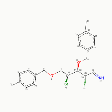 Cc1ccc(COC[C@H](Br)[C@@H](OCc2ccc(C)cc2)[C@H](F)C=N)cc1